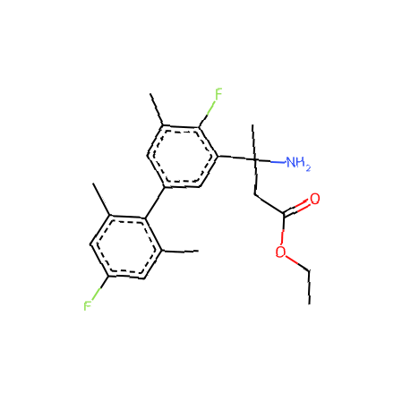 CCOC(=O)CC(C)(N)c1cc(-c2c(C)cc(F)cc2C)cc(C)c1F